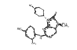 Cc1cc(C#N)ccc1Nc1ncc2c(n1)n([C@H]1CC[C@H](C#N)CC1)c(=O)n2C